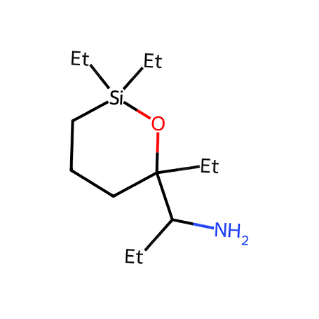 CCC(N)C1(CC)CCC[Si](CC)(CC)O1